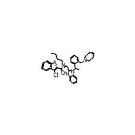 CCCCN(Cc1nc2ccccc2n1C(C)c1ccccc1CN1CCCCC1)C(=O)c1sc2ccccc2c1Cl